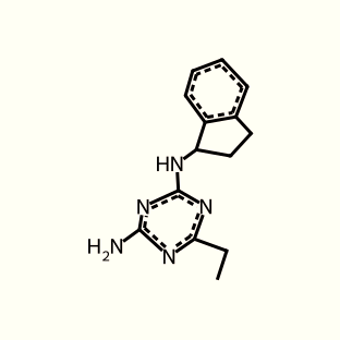 CCc1nc(N)nc(NC2CCc3ccccc32)n1